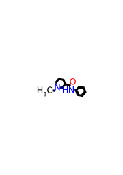 CCN1CCCC(C(=O)Nc2ccccc2)C1